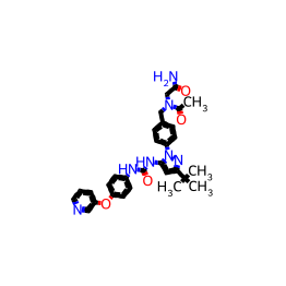 CC(=O)N(CC(N)=O)Cc1ccc(-n2nc(C(C)(C)C)cc2NC(=O)Nc2ccc(Oc3cccnc3)cc2)cc1